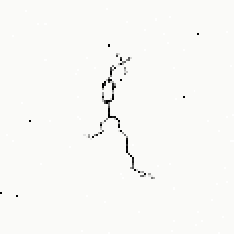 CCCCCCCC(CCC)c1ccc(OC(F)(F)F)cc1